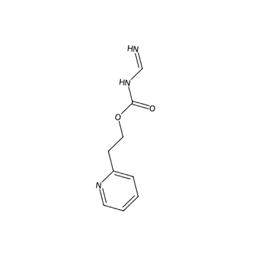 N=CNC(=O)OCCc1ccccn1